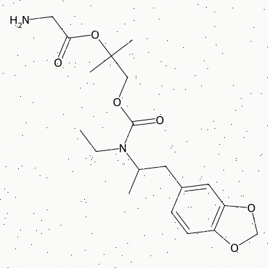 CCN(C(=O)OCC(C)(C)OC(=O)CN)C(C)Cc1ccc2c(c1)OCO2